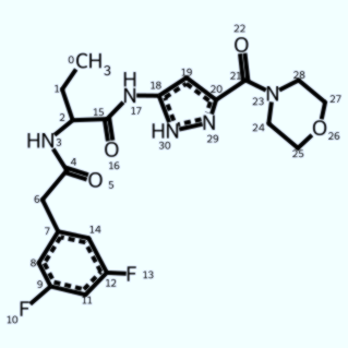 CCC(NC(=O)Cc1cc(F)cc(F)c1)C(=O)Nc1cc(C(=O)N2CCOCC2)n[nH]1